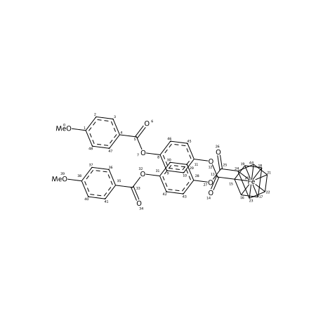 COc1ccc(C(=O)Oc2ccc(OC(=O)[C]34[CH]5[CH]6[CH]7[CH]3[Fe]6754389%10[CH]4[CH]3[CH]8[C]9(C(=O)Oc3ccc(OC(=O)c5ccc(OC)cc5)cc3)[CH]4%10)cc2)cc1